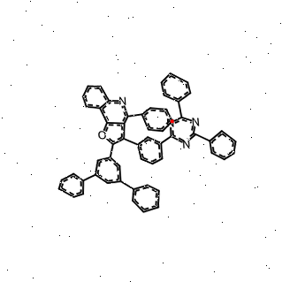 c1ccc(-c2cc(-c3ccccc3)cc(-c3oc4c(c(-c5ccccc5)nc5ccccc54)c3-c3cccc(-c4nc(-c5ccccc5)nc(-c5ccccc5)n4)c3)c2)cc1